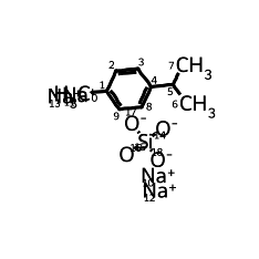 Cc1ccc(C(C)C)cc1.[Na+].[Na+].[Na+].[Na+].[O-][Si]([O-])([O-])[O-]